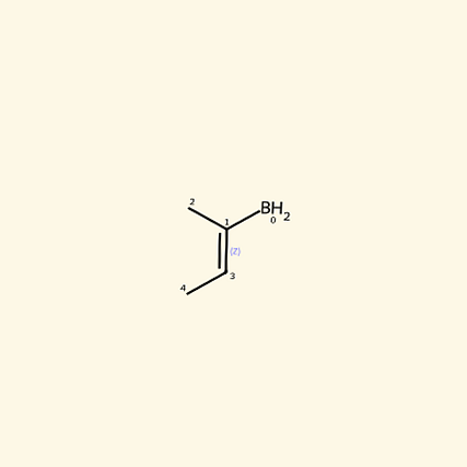 B/C(C)=C/C